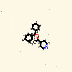 CC(OC(c1ccccc1)c1ccccc1)C1CC[N]CC1